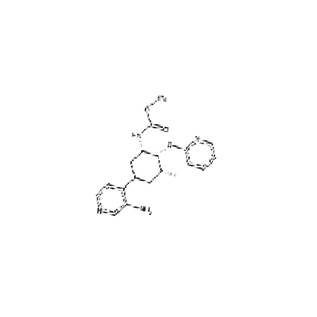 C[C@@H]1CC(c2ccncc2N)C[C@H](NC(=O)OC(C)(C)C)[C@@H]1Oc1ccccn1